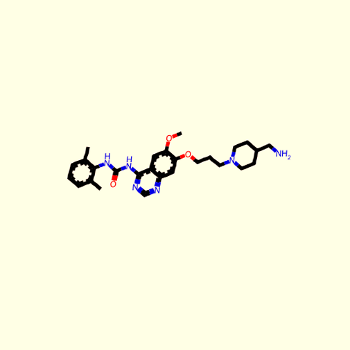 COc1cc2c(NC(=O)Nc3c(C)cccc3C)ncnc2cc1OCCCN1CCC(CN)CC1